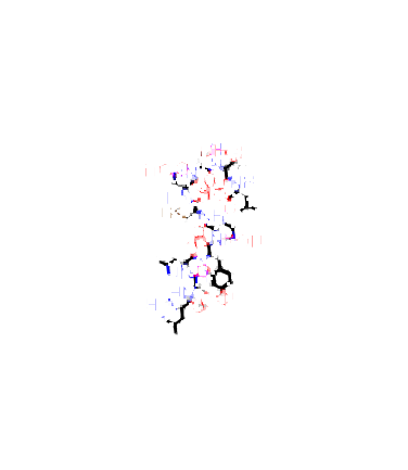 CC(C)C[C@H](NC(=O)[C@@H](NC(=O)[C@H](CO)NC(=O)[C@H](CC(=O)O)NC(=O)[C@H](CS)NC(=O)[C@H](CCC(=O)O)NC(=O)[C@H](Cc1ccc(O)cc1)NC(=O)[C@H](CC(C)C)NC(=O)[C@H](CO)NC(=O)[C@@H](N)CC(C)C)[C@@H](C)O)C(=O)O